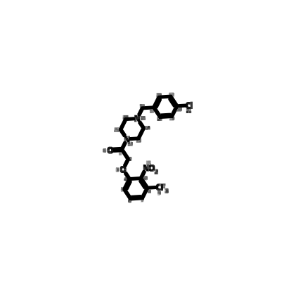 O=C(COc1cccc(C(F)(F)F)c1[N+](=O)[O-])N1CCN(Cc2ccc(Cl)cc2)CC1